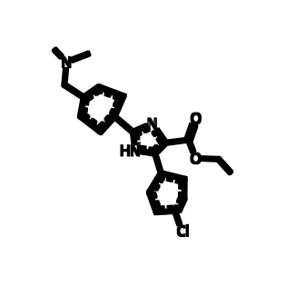 CCOC(=O)c1nc(-c2ccc(CN(C)C)cc2)[nH]c1-c1ccc(Cl)cc1